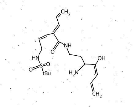 C=C/C=C(\C=C/CNS(=O)(=O)C(C)(C)C)C(=O)NCCC(N)/C(O)=C\C=C